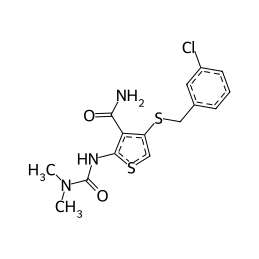 CN(C)C(=O)Nc1scc(SCc2cccc(Cl)c2)c1C(N)=O